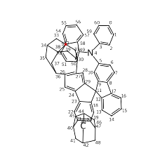 c1ccc(N(c2ccc3c(c2)C2(c4ccccc4-3)c3cc4c(cc3-c3cc5c(cc32)C2CC3CC6CC5CC63C2)C2CC3CC(C2)CC4C3)c2cccc3ccccc23)cc1